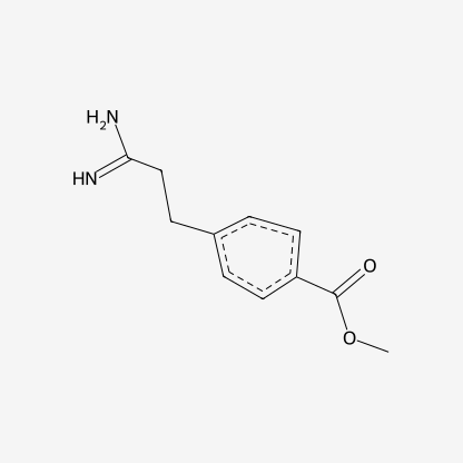 COC(=O)c1ccc(CCC(=N)N)cc1